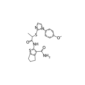 COc1ccc(-n2ccnc2SC(C)C(=O)Nc2sc3c(c2C(N)=O)CCC3)cc1